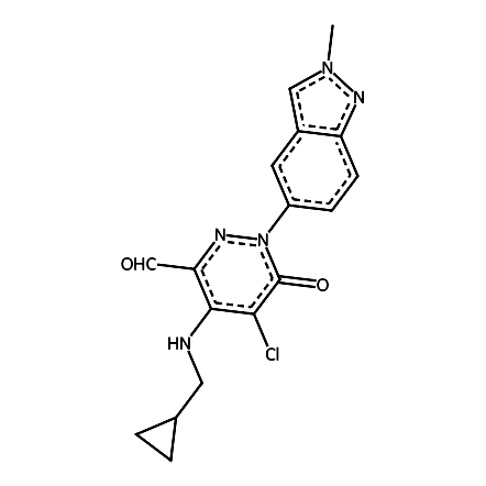 Cn1cc2cc(-n3nc(C=O)c(NCC4CC4)c(Cl)c3=O)ccc2n1